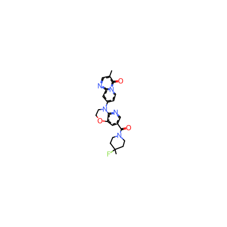 Cc1cnc2cc(N3CCOc4cc(C(=O)N5CCC(C)(F)CC5)cnc43)ccn2c1=O